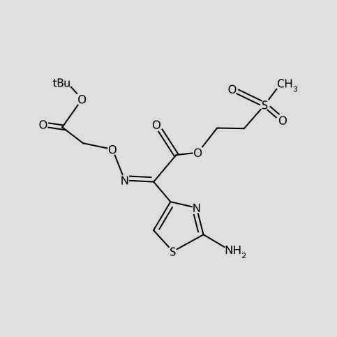 CC(C)(C)OC(=O)CON=C(C(=O)OCCS(C)(=O)=O)c1csc(N)n1